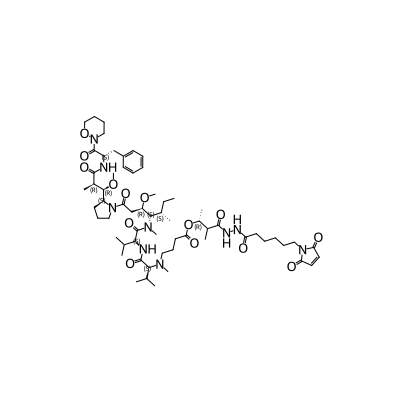 CC[C@H](C)[C@@H]([C@@H](CC(=O)N1CCC[C@H]1[C@H](OC)[C@@H](C)C(=O)N[C@@H](Cc1ccccc1)C(=O)N1CCCCO1)OC)N(C)C(=O)[C@@H](NC(=O)[C@H](C(C)C)N(C)CCCC(=O)O[C@H](C)C(C)C(=O)NNC(=O)CCCCCN1C(=O)C=CC1=O)C(C)C